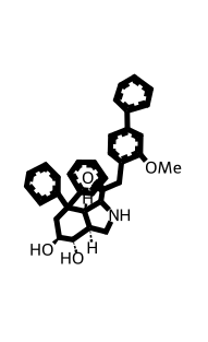 COc1cc(-c2ccccc2)ccc1CC(=O)C1NC[C@H]2[C@H](O)[C@@H](O)CC(c3ccccc3)(c3ccccc3)[C@@H]12